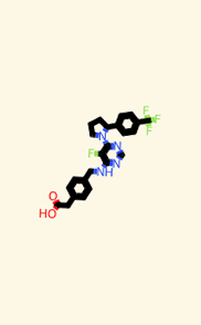 O=C(O)Cc1ccc(CNc2ncnc(N3CCCC3c3ccc(C(F)(F)F)cc3)c2F)cc1